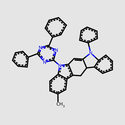 Cc1ccc2c(c1)c1c(n2-c2nc(-c3ccccc3)nc(-c3ccccc3)n2)C=C2C(C1)c1ccccc1N2c1ccccc1